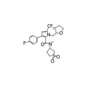 CN(C(=O)c1c(-c2ccc(F)cc2)cc(C(F)(F)F)n1CC1CCCO1)C1CCS(=O)(=O)C1